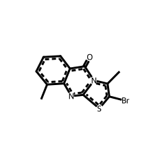 Cc1cccc2c(=O)n3c(C)c(Br)sc3nc12